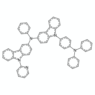 c1ccc(N(c2ccccc2)c2ccc(-n3c4ccccc4c4cc(N(c5ccccc5)c5ccc6c(c5)c5ccccc5n6-c5ccccn5)ccc43)cc2)cc1